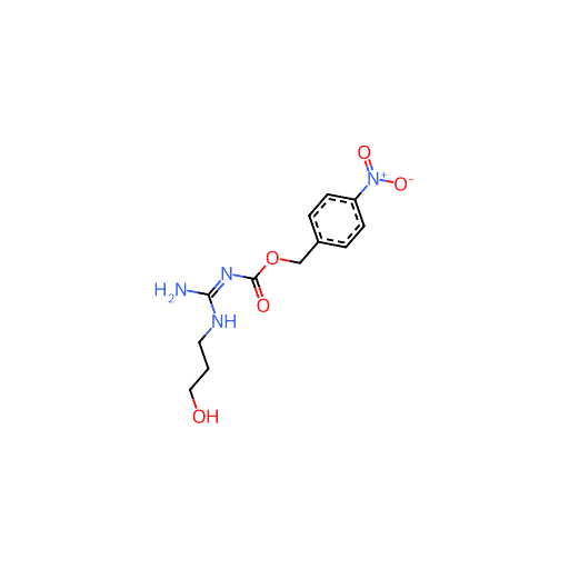 NC(=NC(=O)OCc1ccc([N+](=O)[O-])cc1)NCCCO